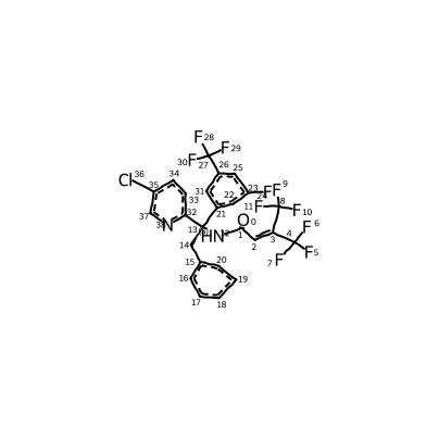 O=C(C=C(C(F)(F)F)C(F)(F)F)N[C@@](Cc1ccccc1)(c1cc(F)cc(C(F)(F)F)c1)c1ccc(Cl)cn1